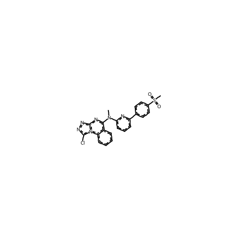 CN(c1cccc(-c2ccc(S(C)(=O)=O)cc2)n1)c1nc2nnc(Cl)n2c2ccccc12